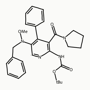 CON(Cc1ccccc1)c1[c]nc(NC(=O)OC(C)(C)C)c(C(=O)N2CCCC2)c1-c1ccccc1